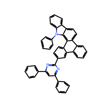 c1ccc(-c2cc(-c3ccccc3)nc(-c3ccc4c(c3)c3ccccc3c3ccc5c6ccccc6n(-c6ccccc6)c5c34)n2)cc1